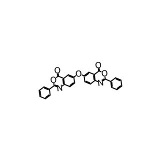 O=c1oc(-c2ccccc2)nc2ccc(Oc3ccc4nc(-c5ccccc5)oc(=O)c4c3)cc12